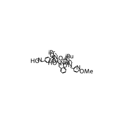 CC[C@H](C)[C@@H](C(=O)N[C@@H](Cc1ccccc1)[C@H](O)CN(CC(C)C)S(=O)(=O)c1ccc(C=NO)cc1)N1CCN(Cc2ccc(OC)nc2)C1=O